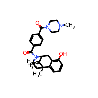 CN1CCN(C(=O)c2ccc(C(=O)N3CC[C@@]4(C)c5cccc(O)c5CC3C4(C)C)cc2)CC1